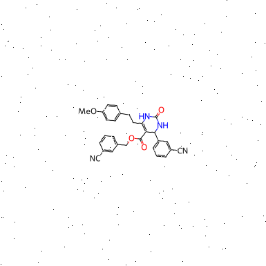 COc1ccc(CCC2=C(C(=O)OCc3cccc(C#N)c3)C(c3cccc(C#N)c3)NC(=O)N2)cc1